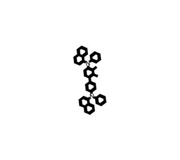 Cc1c(-c2ccc(N(c3ccccc3)c3cccc4ccccc34)cc2)ccc(N(c2ccccc2)c2cccc3ccccc23)c1C